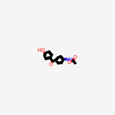 CC(=O)ONc1ccc(C(=O)c2ccc(O)cc2)cc1